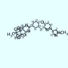 Cn1cc(-n2ccc(=O)c(Cc3cccc(-c4ncc(C(O)(C(=O)O)C(C)(C)C)cn4)c3)n2)cn1